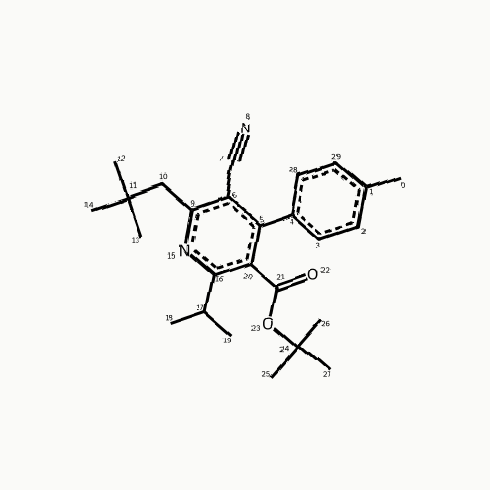 Cc1ccc(-c2c(C#N)c(CC(C)(C)C)nc(C(C)C)c2C(=O)OC(C)(C)C)cc1